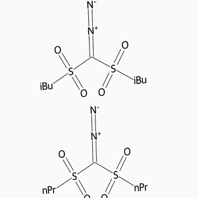 CCC(C)S(=O)(=O)C(=[N+]=[N-])S(=O)(=O)C(C)CC.CCCS(=O)(=O)C(=[N+]=[N-])S(=O)(=O)CCC